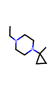 CCN1CCN(C2(C)CC2)CC1